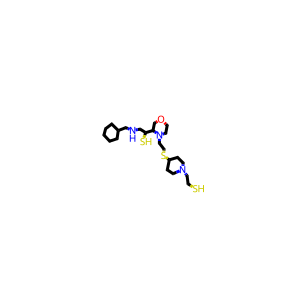 SCCN1CCC(SCCN2CCOCC2C(S)CNCC2CCCCC2)CC1